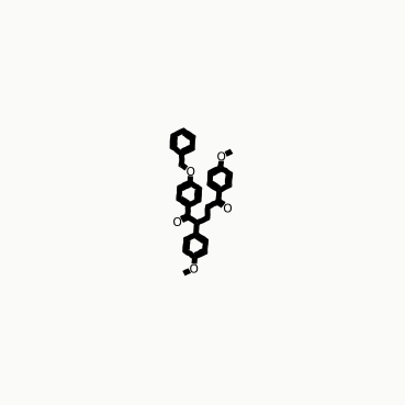 COc1ccc(C(=O)CCC(C(=O)c2ccc(OCc3ccccc3)cc2)c2ccc(OC)cc2)cc1